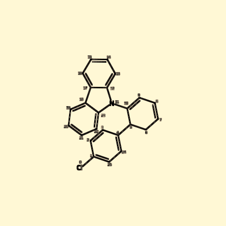 Clc1ccc(C2CC=CC=C2n2c3ccccc3c3ccccc32)cc1